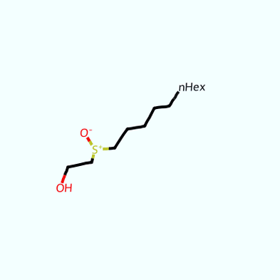 CCCCCCCCCCC[S+]([O-])CCO